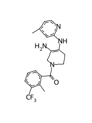 Cc1ccnc(NC2=C(N)CN(C(=O)c3cccc(C(F)(F)F)c3C)CC2)c1